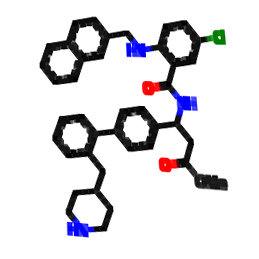 COC(=O)CC(NC(=O)c1cc(Cl)ccc1NCc1ccc2ccccc2c1)c1ccc(-c2ccccc2CC2CCNCC2)cc1